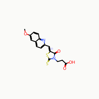 COc1ccc2nc(/C=C3\SC(=S)N(CCC(=O)O)C3=O)ccc2c1